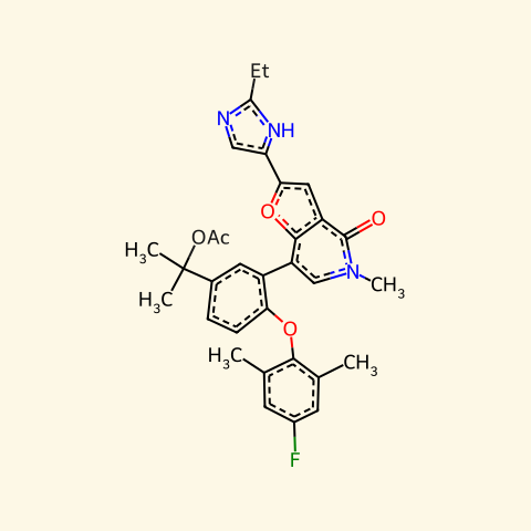 CCc1ncc(-c2cc3c(=O)n(C)cc(-c4cc(C(C)(C)OC(C)=O)ccc4Oc4c(C)cc(F)cc4C)c3o2)[nH]1